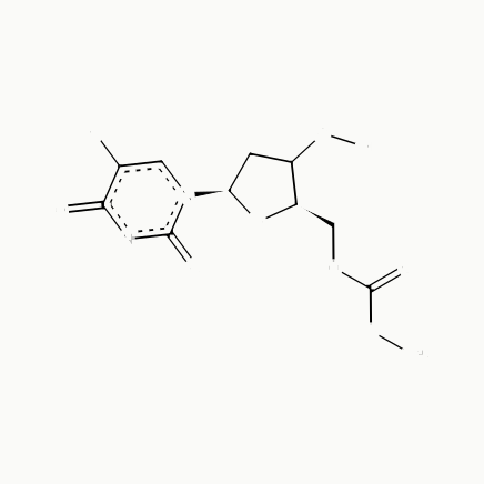 Cc1cn([C@H]2CC(OO)[C@@H](COC(=O)OC(C)(C)C)O2)c(=O)[nH]c1=O